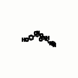 O=C(NCCCn1ccnc1)Oc1cc(-c2ccc(O)cc2)on1